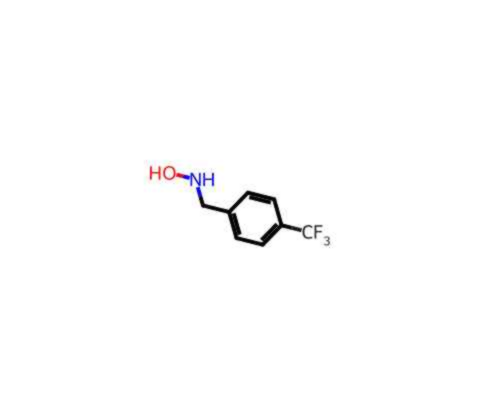 ONCc1ccc(C(F)(F)F)cc1